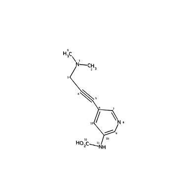 CN(C)CC#Cc1cncc(NC(=O)O)c1